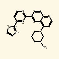 N[C@H]1CCCN(c2ccnc3ccc(-c4nccc(-c5nccs5)n4)cc23)C1